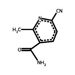 Cc1nc(C#N)ccc1C(N)=O